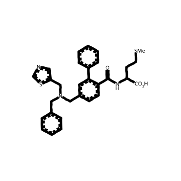 CSCCC(NC(=O)c1ccc(CN(Cc2ccccc2)Cc2cncs2)cc1-c1ccccc1)C(=O)O